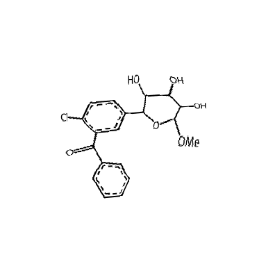 COC1OC(c2ccc(Cl)c(C(=O)c3ccccc3)c2)C(O)C(O)C1O